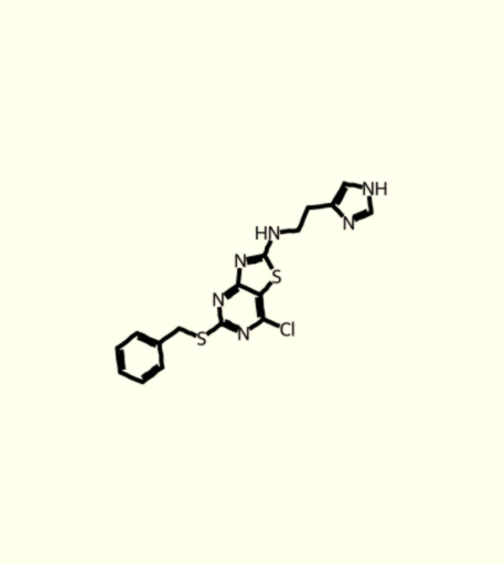 Clc1nc(SCc2ccccc2)nc2nc(NCCc3c[nH]cn3)sc12